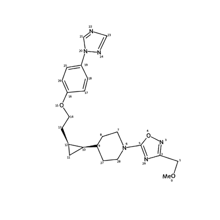 COCc1noc(N2CCC([C@H]3C[C@H]3CCOc3ccc(-n4cncn4)cc3)CC2)n1